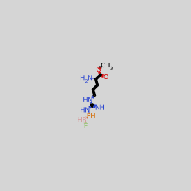 COC(=O)[C@@H](N)CCCNC(=N)NPBF